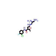 Cc1oc(NC/C(N)=C/N)cc1C(=O)Nc1ccc(F)c(Cl)c1